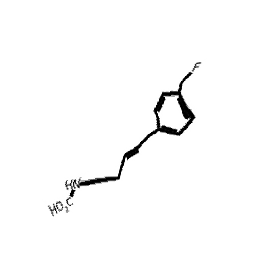 O=C(O)NCC=Cc1ccc(F)cc1